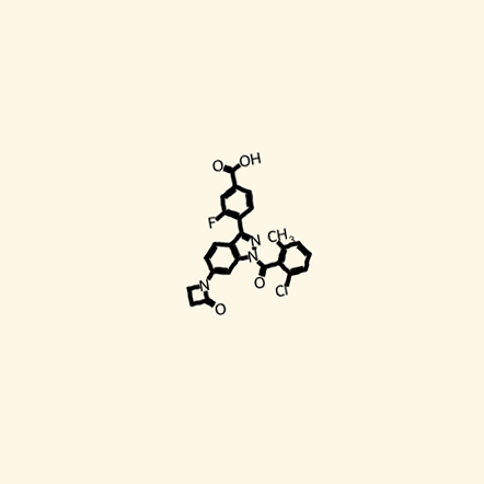 Cc1cccc(Cl)c1C(=O)n1nc(-c2ccc(C(=O)O)cc2F)c2ccc(N3CCC3=O)cc21